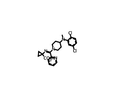 CN(c1cc(Cl)ccc1Cl)C1CCN(/C(=N/C2(C(=O)O)CC2)c2ccccn2)CC1